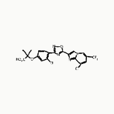 CC(C)(Oc1ccc(-c2noc(-c3cn4cc(C(F)(F)F)cc(Cl)c4n3)n2)c(Cl)c1)C(=O)O